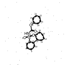 O=C(NS(=O)(=O)c1ccccc1-c1ccccc1)Oc1ccccc1